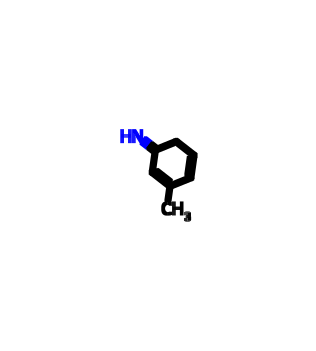 CC1=CC(=N)CC=C1